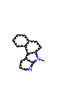 Cn1c2ccc3ccccc3c2c2cccnc21